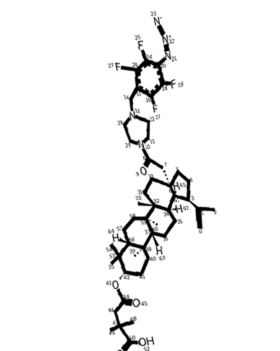 C=C(C)[C@@H]1CC[C@]2(CC(=O)N3CCN(Cc4c(F)c(F)c(N=[N+]=[N-])c(F)c4F)CC3)CC[C@]3(C)[C@H](CC[C@@H]4[C@@]5(C)CC[C@H](OC(=O)CC(C)(C)C(=O)O)C(C)(C)[C@@H]5CC[C@]43C)[C@@H]12